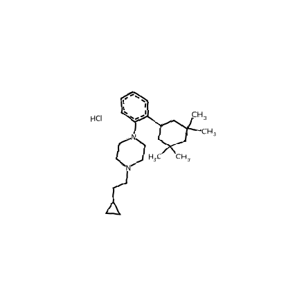 CC1(C)CC(c2ccccc2N2CCN(CCC3CC3)CC2)CC(C)(C)C1.Cl